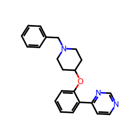 c1ccc(CN2CCC(Oc3ccccc3-c3ccncn3)CC2)cc1